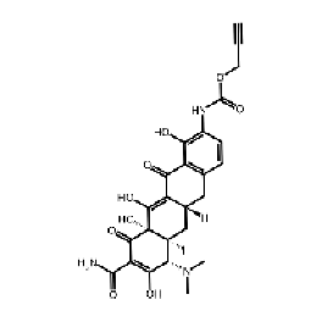 C#CCOC(=O)Nc1ccc2c(c1O)C(=O)C1=C(O)[C@]3(O)C(=O)C(C(N)=O)=C(O)[C@@H](N(C)C)[C@@H]3C[C@H]1C2